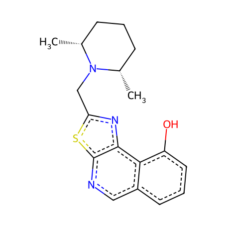 C[C@@H]1CCC[C@H](C)N1Cc1nc2c(ncc3cccc(O)c32)s1